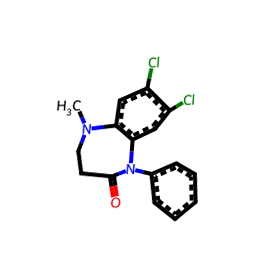 CN1CCC(=O)N(c2ccccc2)c2cc(Cl)c(Cl)cc21